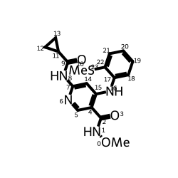 CONC(=O)c1cnc(NC(=O)C2CC2)cc1Nc1ccccc1SC